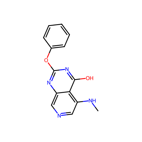 CNc1cncc2nc(Oc3ccccc3)nc(O)c12